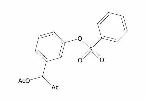 CC(=O)OC(C(C)=O)c1cccc(OS(=O)(=O)c2ccccc2)c1